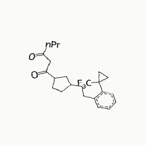 CCCC(=O)CC(=O)C1CCC(CCc2ccccc2C2(C(F)(F)F)CC2)C1